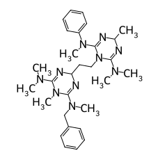 CC1N=C(N(C)C)N(CCC2N=C(N(C)C)N(C)C(N(C)Cc3ccccc3)=N2)C(N(C)c2ccccc2)=N1